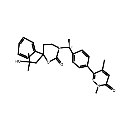 Cc1cc(=O)n(C)nc1-c1ccc([C@H](C)N2CCC(CC(C)(C)O)(c3ccccc3)OC2=O)cc1